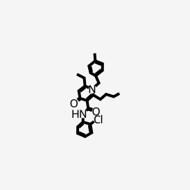 CCCCc1c(C(=O)Nc2ccccc2Cl)c(=O)cc(CC)n1Cc1ccc(C)cc1